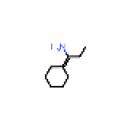 CCC(N)=C1CCCCC1